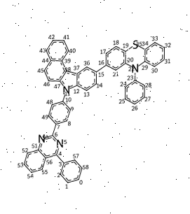 c1ccc(-c2nc(-c3ccc(-n4c5ccc(-c6ccc7c(c6)N(c6ccccc6)c6ccccc6S7)cc5c5c6ccccc6ccc54)cc3)nc3ccccc23)cc1